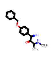 CC(NC(=O)O)C(=O)C(=N)c1ccc(OCc2ccccc2)cc1